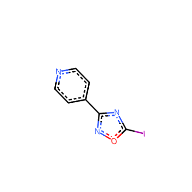 Ic1nc(-c2ccncc2)no1